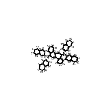 C1=Cc2cc(N(c3ccc4ccccc4c3)c3cc4c5ccccc5c(N(c5ccc6c(c5)C=CCC6)c5ccc6ccccc6c5)cc4c4ccccc34)ccc2CC1